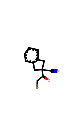 N#CC1(C(=O)CBr)Cc2ccccc2C1